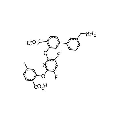 CCOC(=O)c1ccc(-c2cccc(CN)c2)cc1Oc1nc(Oc2cc(C)ccc2C(=O)O)c(F)cc1F